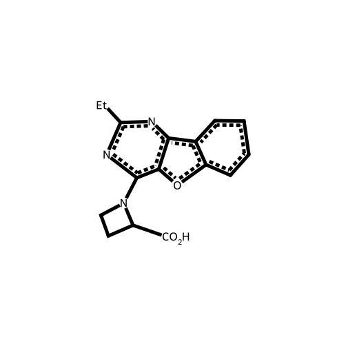 CCc1nc(N2CCC2C(=O)O)c2oc3ccccc3c2n1